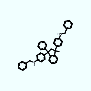 CC1(c2ccc(NCc3ccccc3)cc2)CC(c2ccccc2)(c2ccc(NCc3ccccc3)cc2)c2ccccc21